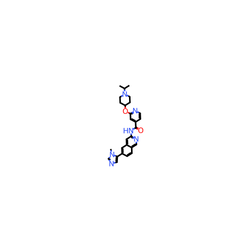 CC(C)N1CCC(Oc2cc(C(=O)Nc3cc4cc(-c5cncn5C)ccc4cn3)ccn2)CC1